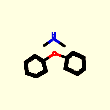 CNC.c1ccc(Oc2ccccc2)cc1